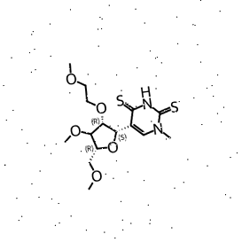 COCCO[C@H]1C(OC)[C@@H](COC)O[C@H]1c1cn(C)c(=S)[nH]c1=S